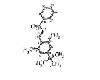 Cc1cc(C(C)(C)C)cc(C)c1/C=C/C(=O)c1ccccc1